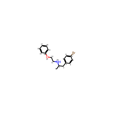 CC(Cc1ccc(Br)cc1)NCCOc1ccccc1